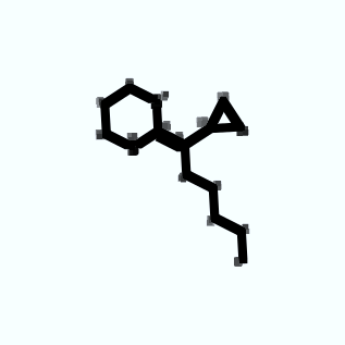 CCCCCC(=C1SCCCS1)C1CC1